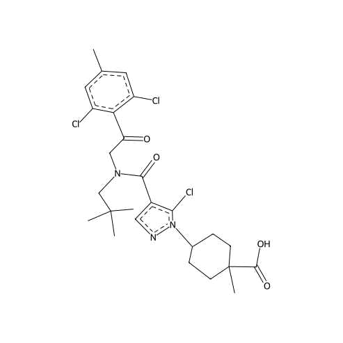 Cc1cc(Cl)c(C(=O)CN(CC(C)(C)C)C(=O)c2cnn(C3CCC(C)(C(=O)O)CC3)c2Cl)c(Cl)c1